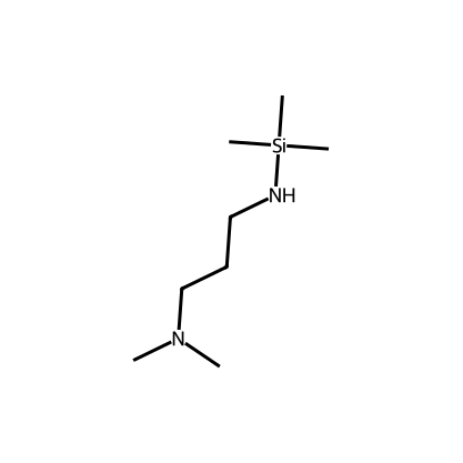 CN(C)CCCN[Si](C)(C)C